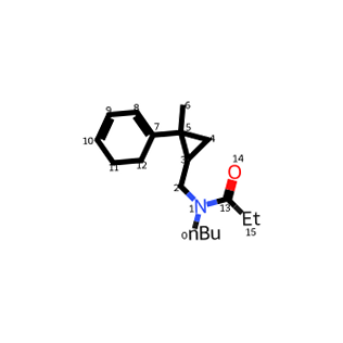 CCCCN(CC1CC1(C)C1=CC=CCC1)C(=O)CC